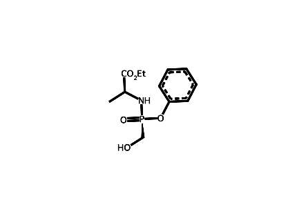 CCOC(=O)C(C)N[P@](=O)(CO)Oc1ccccc1